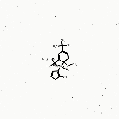 COC1([Si](C)(C)C2=[C]([Ti+2])CC=C2)CC=C(C(C)(C)C)C=C1C(C)(C)C.[Cl-].[Cl-]